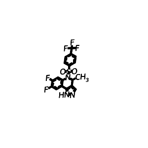 CC1c2cn[nH]c2-c2cc(F)c(F)cc2N1S(=O)(=O)c1ccc(C(F)(F)F)cc1